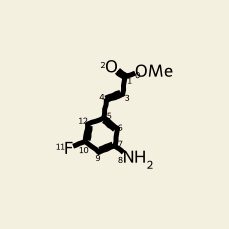 COC(=O)C=Cc1cc(N)cc(F)c1